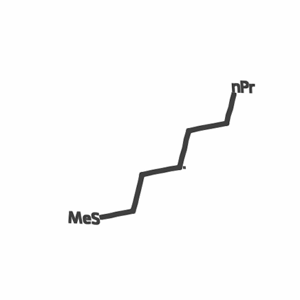 CCCCC[CH]CCSC